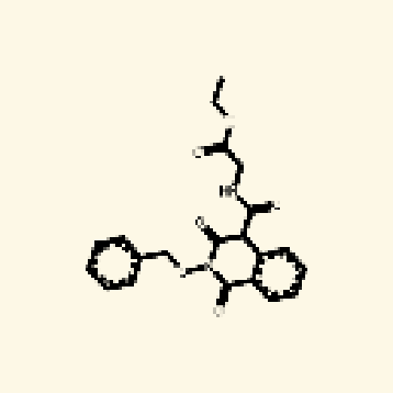 CCOC(=O)CNC(=O)C1C(=O)N(OCc2ccccc2)C(=O)c2ccccc21